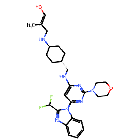 C/C(=C\O)CN[C@H]1CC[C@H](CNc2cc(-n3c(C(F)F)nc4ccccc43)nc(N3CCOCC3)n2)CC1